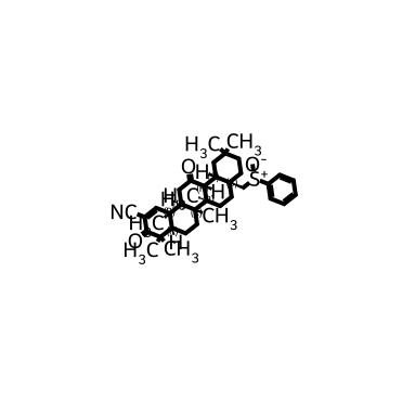 CC1(C)CC[C@]2(C[S+]([O-])c3ccccc3)CC[C@]3(C)[C@H](C(=O)C[C@@H]4[C@@]5(C)C=C(C#N)C(=O)C(C)(C)[C@@H]5CC[C@]43C)[C@@H]2C1